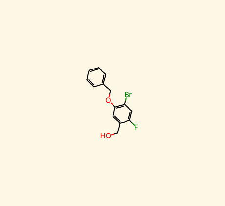 OCc1cc(OCc2ccccc2)c(Br)cc1F